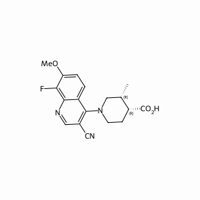 COc1ccc2c(N3CC[C@@H](C(=O)O)[C@@H](C)C3)c(C#N)cnc2c1F